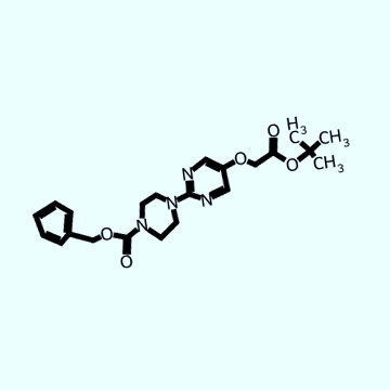 CC(C)(C)OC(=O)COc1cnc(N2CCN(C(=O)OCc3ccccc3)CC2)nc1